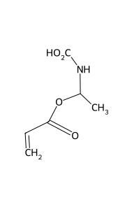 C=CC(=O)OC(C)NC(=O)O